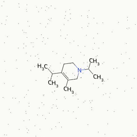 CC1=C(C(C)C)CCN(C(C)C)C1